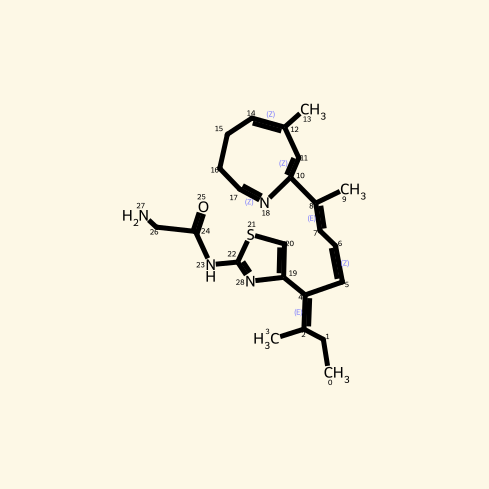 CC/C(C)=C(\C=C/C=C(C)/C1=C/C(C)=C\CC/C=N\1)c1csc(NC(=O)CN)n1